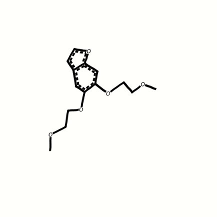 COCCOc1cc2ccoc2cc1OCCOC